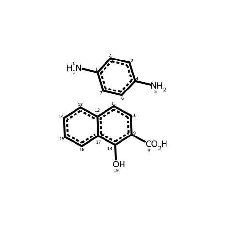 Nc1ccc(N)cc1.O=C(O)c1ccc2ccccc2c1O